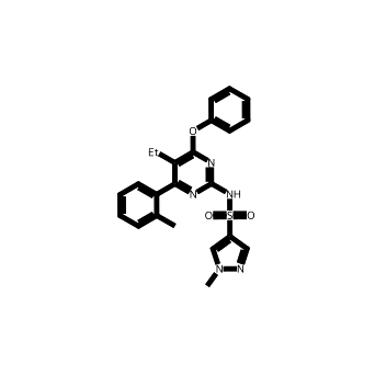 CCc1c(Oc2ccccc2)nc(NS(=O)(=O)c2cnn(C)c2)nc1-c1ccccc1C